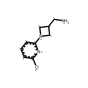 NCC1CN(c2cccc(Cl)n2)C1